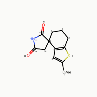 COc1cc2c(s1)CCCC21CC(=O)NC1=O